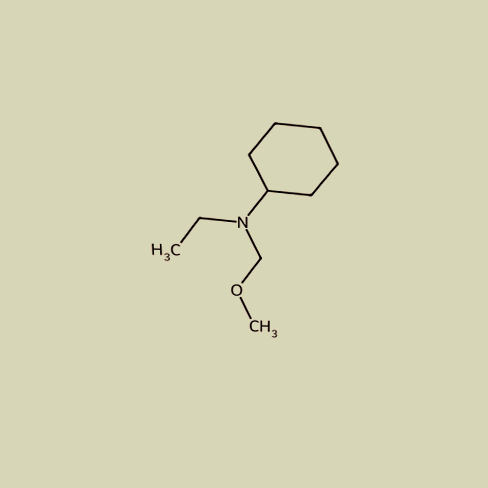 CCN(COC)C1CCCCC1